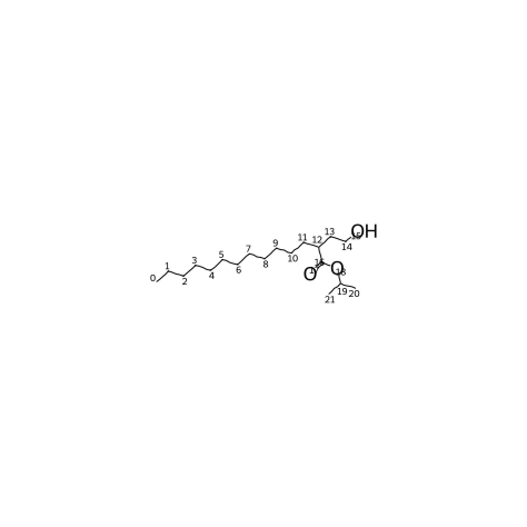 CCCCCCCCCCCCC(CCO)C(=O)OC(C)C